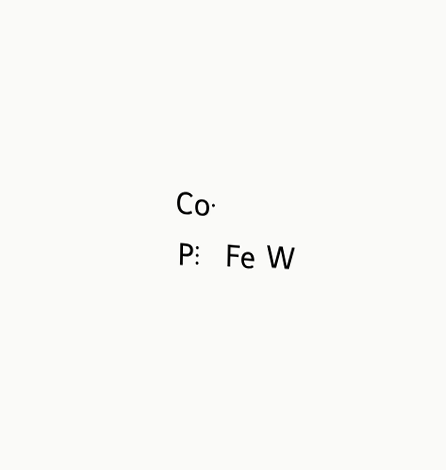 [Co].[Fe].[P].[W]